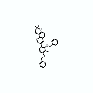 Cc1c(OCc2ccccc2)ccc(C2=Cc3ccc4c(c3OC2)C=CC(C)(C)O4)c1OCc1ccccc1